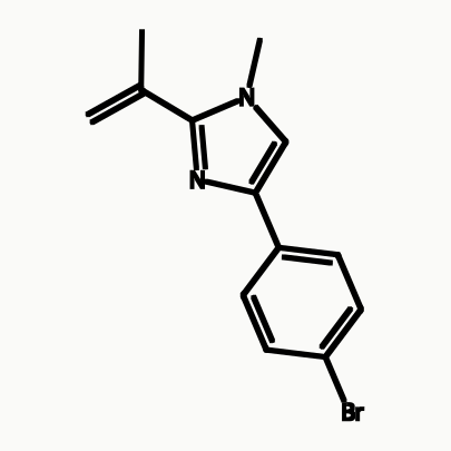 C=C(C)c1nc(-c2ccc(Br)cc2)cn1C